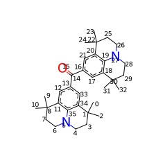 CC1(C)CCN2CCC(C)(C)c3cc(C(=O)c4cc5c6c(c4)C(C)(C)CCN6CCC5(C)C)cc1c32